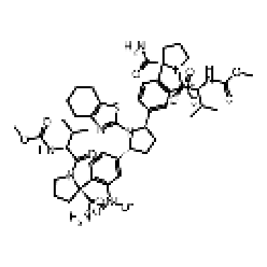 COC(=O)N[C@H](C(=O)N1CCC[C@@]1(C(N)=O)c1ccc([C@H]2CC[C@H](c3ccc([C@]4(C(N)=O)CCCN4C(=O)[C@@H](NC(=O)OC)C(C)C)c([N+](=O)[O-])c3)N2c2nc3c(s2)CCCC3)cc1[N+](=O)[O-])C(C)C